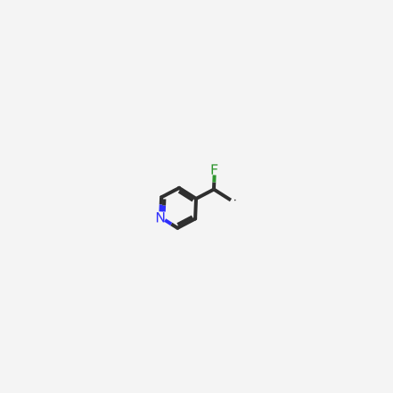 [CH2]C(F)c1ccncc1